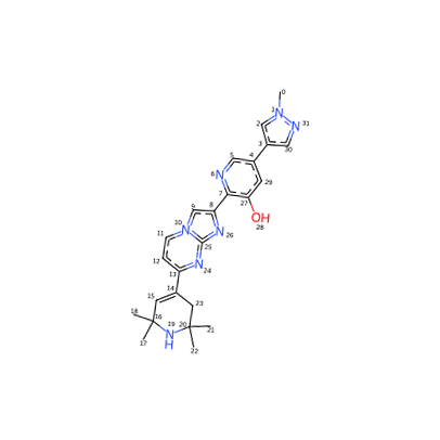 Cn1cc(-c2cnc(-c3cn4ccc(C5=CC(C)(C)NC(C)(C)C5)nc4n3)c(O)c2)cn1